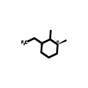 CC1[C@H](C)CCCN1CC(F)(F)F